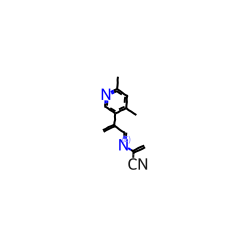 C=C(C#N)/N=C/C(=C)c1cnc(C)cc1C